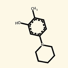 Cc1ccc(N2CCCCC2)cc1O